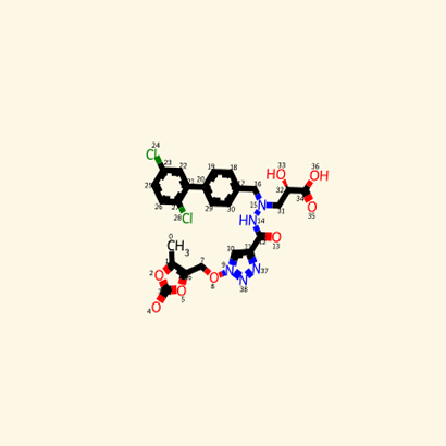 Cc1oc(=O)oc1COn1cc(C(=O)NN(Cc2ccc(-c3cc(Cl)ccc3Cl)cc2)C[C@@H](O)C(=O)O)nn1